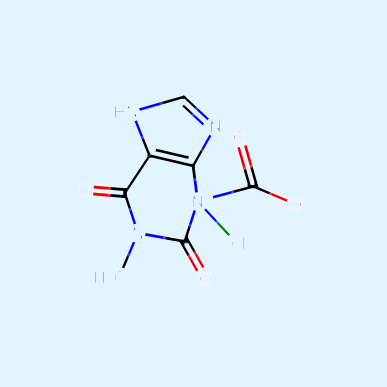 CN1C(=O)c2[nH]cnc2[N+](Cl)(C(=O)[O-])C1=O